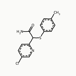 Cc1ccc(SC(C(N)=O)c2ccc(Cl)cn2)cc1